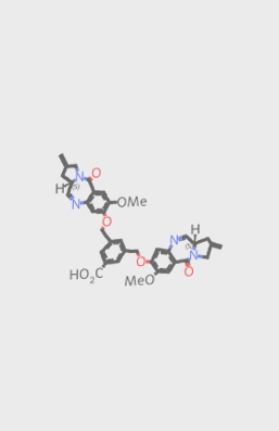 C=C1C[C@H]2C=Nc3cc(OCc4cc(COc5cc6c(cc5OC)C(=O)N5CC(=C)C[C@H]5C=N6)cc(C(=O)O)c4)c(OC)cc3C(=O)N2C1